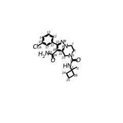 CC1(NC(=O)N2CCn3nc(-c4cccc(Cl)c4)c(C(N)=O)c3C2)CCC1